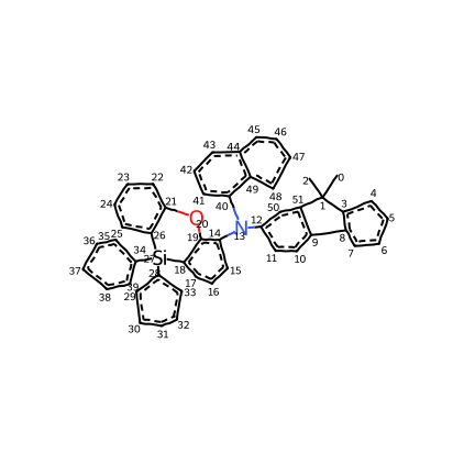 CC1(C)c2ccccc2-c2ccc(N(c3cccc4c3Oc3ccccc3[Si]4(c3ccccc3)c3ccccc3)c3cccc4ccccc34)cc21